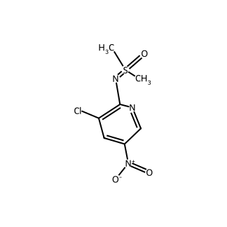 CS(C)(=O)=Nc1ncc([N+](=O)[O-])cc1Cl